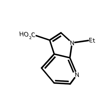 CCn1cc(C(=O)O)c2cccnc21